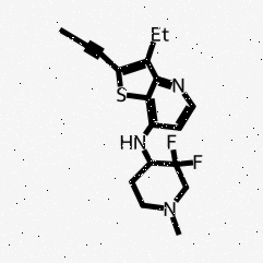 CC#Cc1sc2c(NC3CCN(C)CC3(F)F)ccnc2c1CC